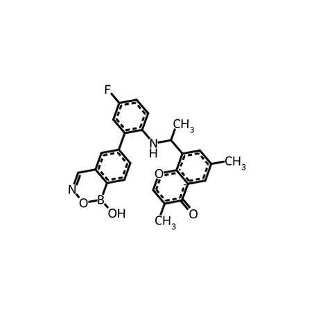 Cc1cc(C(C)Nc2ccc(F)cc2-c2ccc3c(c2)C=NOB3O)c2occ(C)c(=O)c2c1